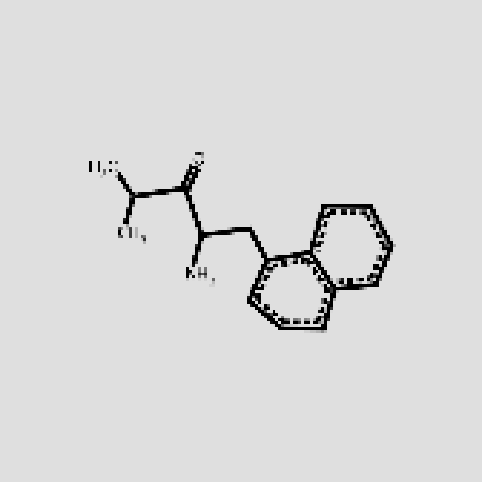 CC(C)C(=O)C(N)Cc1cccc2ccccc12